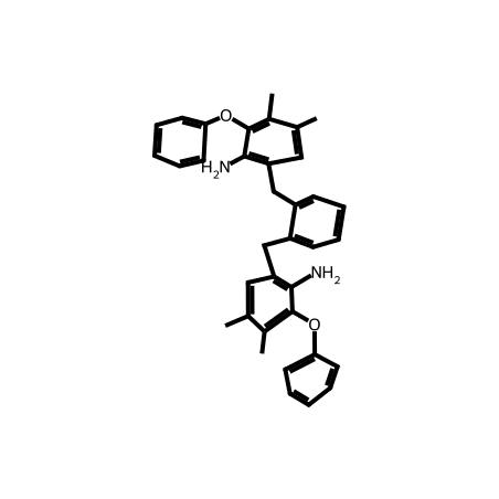 Cc1cc(Cc2ccccc2Cc2cc(C)c(C)c(Oc3ccccc3)c2N)c(N)c(Oc2ccccc2)c1C